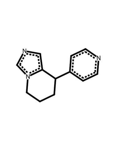 c1cc(C2CCCn3cncc32)ccn1